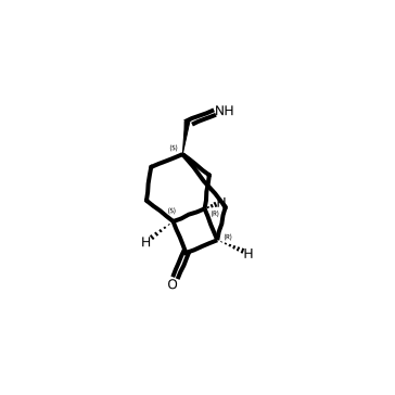 N=C[C@]12CC[C@@H]3C(=O)[C@H](C1)[C@@H]3C2